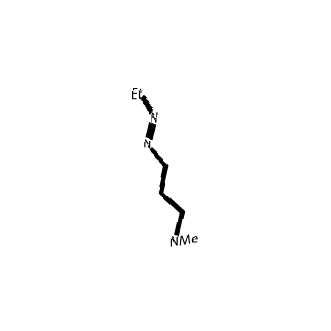 CC/N=N/CCCNC